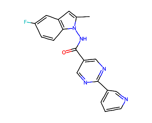 Cc1cc2cc(F)ccc2n1NC(=O)c1cnc(-c2cccnc2)nc1